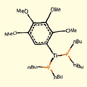 CCCC[P](CCCC)[Ti]([c]1cc(OC)c(OC)c(OC)c1OC)[P](CCCC)CCCC